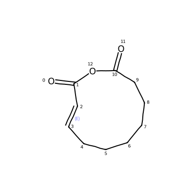 O=C1/C=C/CCCCCCC(=O)O1